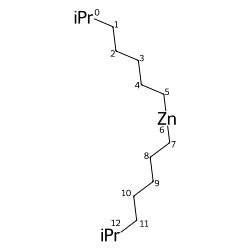 CC(C)CCCC[CH2][Zn][CH2]CCCCC(C)C